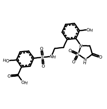 O=C1CN(c2c(O)cccc2CCNS(=O)(=O)c2ccc(O)c(C(=O)O)c2)S(=O)(=O)N1